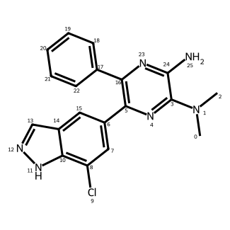 CN(C)c1nc(-c2cc(Cl)c3[nH]ncc3c2)c(-c2ccccc2)nc1N